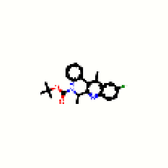 Cc1c(-c2ccccc2)c(C(C)NC(=O)OC(C)(C)C)nc2ccc(F)cc12